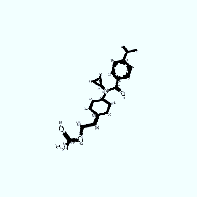 CC(C)c1ccc(C(=O)N(C2CCC(CCOC(N)=O)CC2)C2CC2)cc1